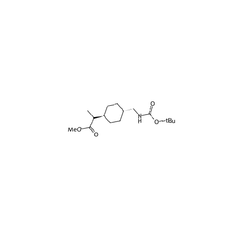 COC(=O)C(C)[C@H]1CC[C@H](CNC(=O)OC(C)(C)C)CC1